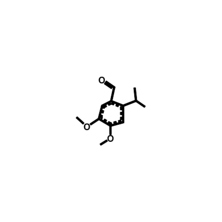 COc1cc(C=O)c(C(C)C)cc1OC